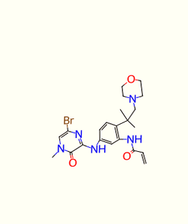 C=CC(=O)Nc1cc(Nc2nc(Br)cn(C)c2=O)ccc1C(C)(C)CN1CCOCC1